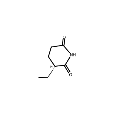 CC[C@@H]1CCC(=O)NC1=O